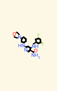 NC(=O)c1cnc(Nc2cccc(N3CCOCC3)c2)cc1NCc1cc(F)cc(F)c1